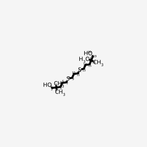 CC(C)(CO)CCCSCCCSCCCC(C)(C)CO